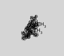 CC1=NO[C@@]2(CC[C@H](C)N3C[C@H]2n2cc(C(=O)NCc4ccc(F)cc4F)c(=O)c(OC(=O)N4CCOC[C@H]4CN(CC(=O)OCc4ccccc4)C(=O)OCOP(=O)(OCc4ccccc4)OCc4ccccc4)c2C3=O)C1